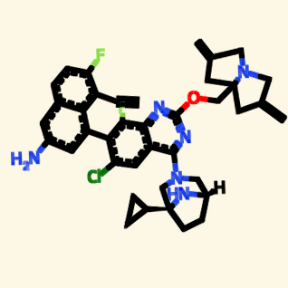 C#Cc1c(F)ccc2cc(N)cc(-c3c(Cl)cc4c(N5C[C@@H]6CC[C@](C7CC7)(C5)N6)nc(OCC56CC(=C)CN5CC(=C)C6)nc4c3F)c12